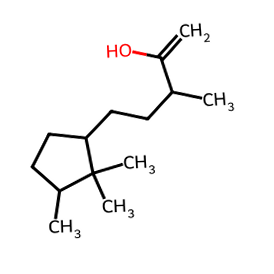 C=C(O)C(C)CCC1CCC(C)C1(C)C